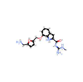 CNC(N)=NC(=O)c1cc2cccc(OCc3ccc(CN)o3)c2[nH]1